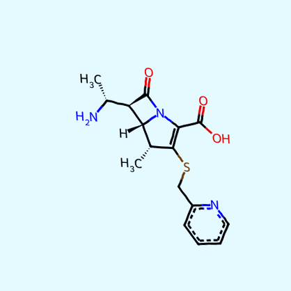 C[C@@H](N)[C@H]1C(=O)N2C(C(=O)O)=C(SCc3ccccn3)[C@H](C)[C@H]12